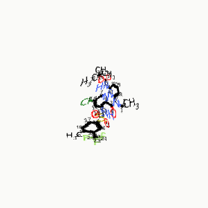 CCN(C(=O)c1ncc(Cl)cc1NS(=O)(=O)c1ccc(C)c(C(F)(F)F)c1)c1cccc(NC(=O)OC(C)(C)C)n1